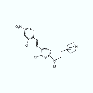 CCN(CC[N+]12CCN(CC1)CC2)c1ccc(N=Nc2ccc([N+](=O)[O-])cc2Cl)c(Cl)c1